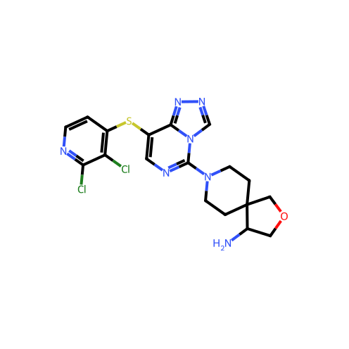 NC1COCC12CCN(c1ncc(Sc3ccnc(Cl)c3Cl)c3nncn13)CC2